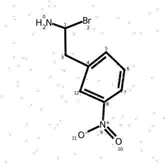 NC(Br)Cc1cc[c]c([N+](=O)[O-])c1